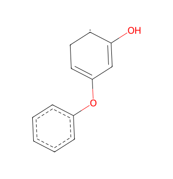 OC1=CC(Oc2ccccc2)=CC[CH]1